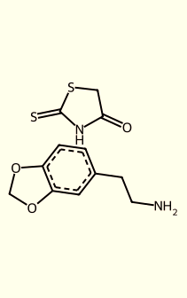 NCCc1ccc2c(c1)OCO2.O=C1CSC(=S)N1